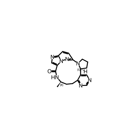 C[C@@H]1CCc2ncncc2[C@@H]2CCCN2c2ccc3ncc(n3n2)C(=O)N1